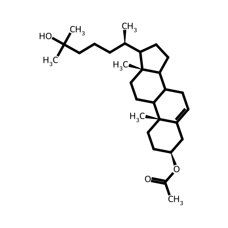 CC(=O)O[C@H]1CC[C@@]2(C)C(=CCC3C4CCC([C@H](C)CCCC(C)(C)O)[C@@]4(C)CCC32)C1